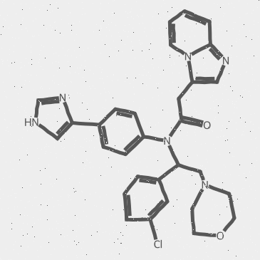 O=C(Cc1cnc2ccccn12)N(c1ccc(-c2c[nH]cn2)cc1)C(CN1CCOCC1)c1cccc(Cl)c1